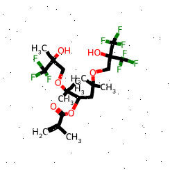 C=C(C)C(=O)OC(CC(C)(C)OCC(O)(C(F)(F)F)C(F)(F)F)C(C)(C)OCC(C)(O)C(F)(F)F